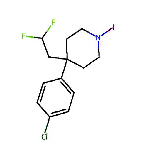 FC(F)CC1(c2ccc(Cl)cc2)CCN(I)CC1